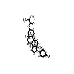 CC(N)C(=O)OC1CC[C@@]2(C)[C@H](CC[C@@H]3[C@@H]2CC[C@]2(C)[C@@H](c4ccc(=O)oc4)CC[C@]32O)C1